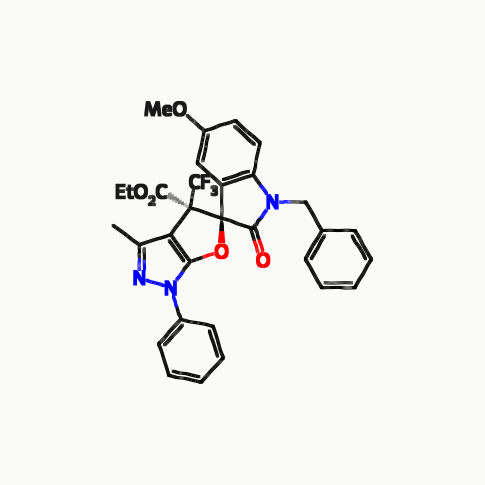 CCOC(=O)[C@@]1(C(F)(F)F)c2c(C)nn(-c3ccccc3)c2O[C@@]12C(=O)N(Cc1ccccc1)c1ccc(OC)cc12